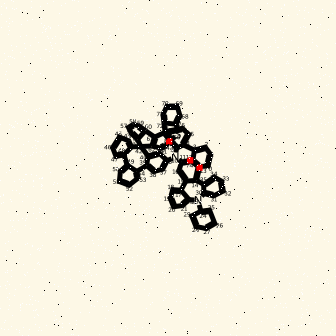 c1ccc(-c2ccccc2N(c2ccc3c(c2)-c2ccccc2N(c2ccccc2)c2ccccc2-3)c2ccc3c(c2)C2(c4ccccc4-c4ccccc4-3)c3ccccc3-c3c2ccc2sc4ccccc4c32)cc1